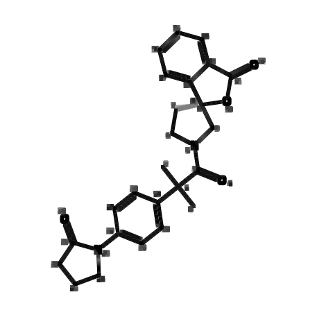 CC(C)(C(=O)N1CC[C@@]2(C1)OC(=O)c1ccccc12)c1ccc(N2CCCC2=O)cc1